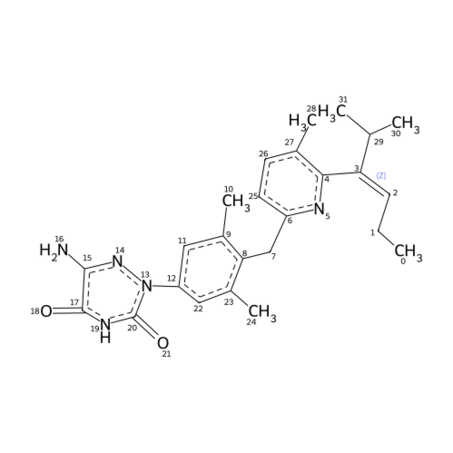 CC/C=C(\c1nc(Cc2c(C)cc(-n3nc(N)c(=O)[nH]c3=O)cc2C)ccc1C)C(C)C